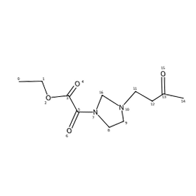 CCOC(=O)C(=O)N1CCN(CCC(C)=O)C1